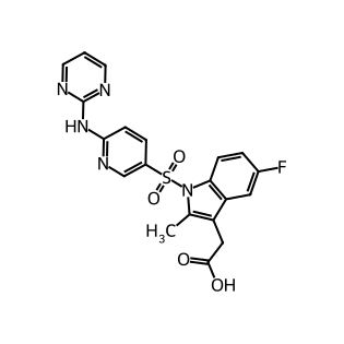 Cc1c(CC(=O)O)c2cc(F)ccc2n1S(=O)(=O)c1ccc(Nc2ncccn2)nc1